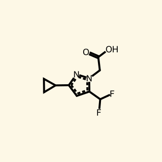 O=C(O)Cn1nc(C2CC2)cc1C(F)F